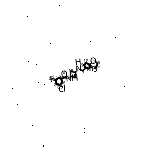 O=C(N[C@H]1C[C@H](NCc2ccc3c(c2)OCCO3)C1)c1cc(F)cc(Cl)c1